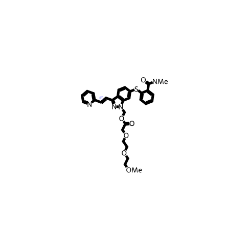 CNC(=O)c1ccccc1Sc1ccc2c(/C=C/c3ccccn3)nn(COC(=O)COCCOCCOC)c2c1